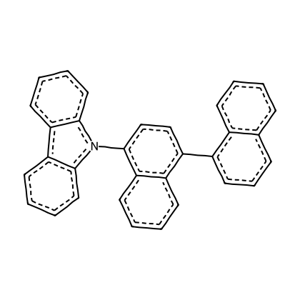 c1ccc2c(-c3ccc(-n4c5ccccc5c5ccccc54)c4ccccc34)cccc2c1